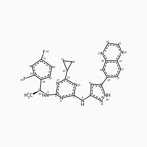 C[C@H](Nc1nc(Nc2cc(-c3ccc4nccnc4c3)[nH]n2)nc(C2CC2)n1)c1ccc(F)cc1F